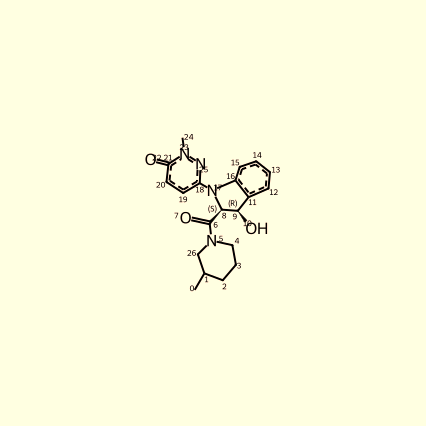 CC1CCCN(C(=O)[C@@H]2[C@H](O)c3ccccc3N2c2ccc(=O)n(C)n2)C1